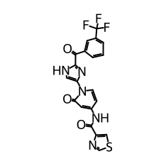 O=C(Nc1ccn(-c2c[nH]c(C(=O)c3cccc(C(F)(F)F)c3)n2)c(=O)c1)c1cscn1